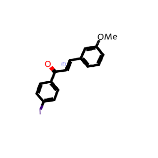 COc1cccc(/C=C/C(=O)c2ccc(I)cc2)c1